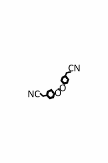 N#CCCc1ccc(OCOc2ccc(CCC#N)cc2)cc1